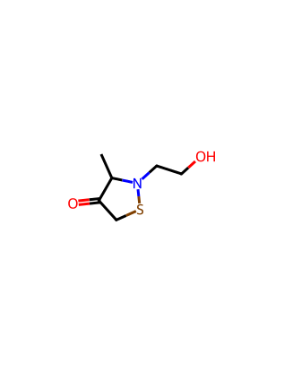 CC1C(=O)CSN1CCO